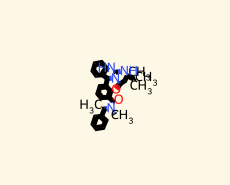 CC(C)[C@]1(C)CC(=O)N(C(c2ccccc2)c2cccc(C(=O)N(C)[C@@H](C)c3ccccc3)c2)C(=N)N1